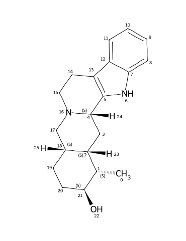 C[C@H]1[C@H]2C[C@H]3c4[nH]c5ccccc5c4CCN3C[C@H]2CC[C@@H]1O